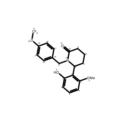 COc1cccc(O)c1C1CCCC(=O)N1Cc1ccc(OC(F)(F)F)cc1